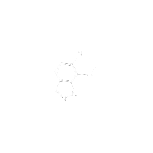 COc1c(N)ccc2c1[N]N=C2